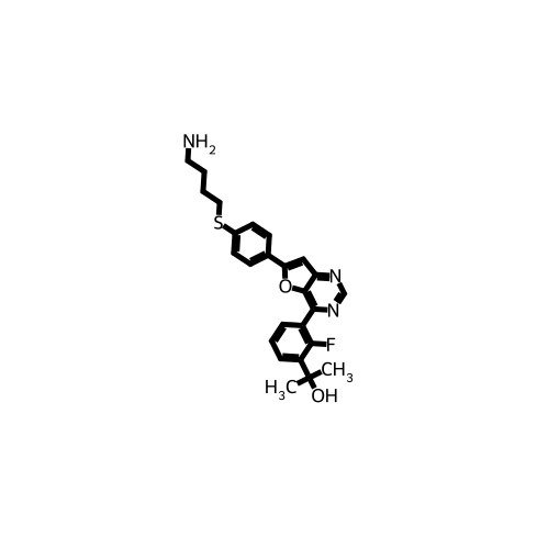 CC(C)(O)c1cccc(-c2ncnc3cc(-c4ccc(SCCCCN)cc4)oc23)c1F